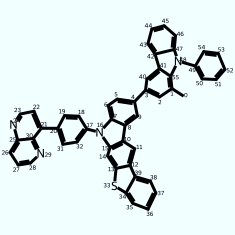 Cc1cc(-c2ccc3c(c2)c2cc4c(cc2n3-c2ccc(-c3ccnc5cccnc35)cc2)sc2ccccc24)cc2c3ccccc3n(-c3ccccc3)c12